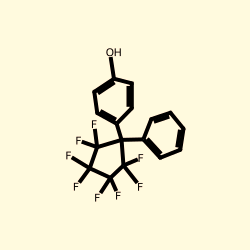 Oc1ccc(C2(c3ccccc3)C(F)(F)C(F)(F)C(F)(F)C2(F)F)cc1